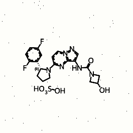 O=C(Nc1cnn2ccc(N3CCC[C@@H]3c3cc(F)ccc3F)nc12)N1CC(O)C1.O=S(=O)(O)O